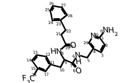 Nc1ccc(CNC(=O)C(Cc2cccc(C(F)(F)F)c2)NC(=O)CCc2ccccc2)cn1